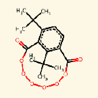 CC(C)(C)c1ccc2c(C(C)(C)C)c1C(=O)OOOOOOC2=O